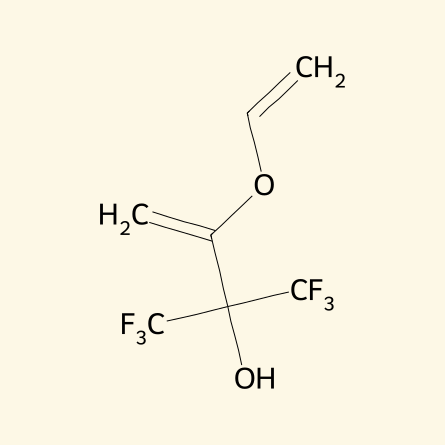 C=COC(=C)C(O)(C(F)(F)F)C(F)(F)F